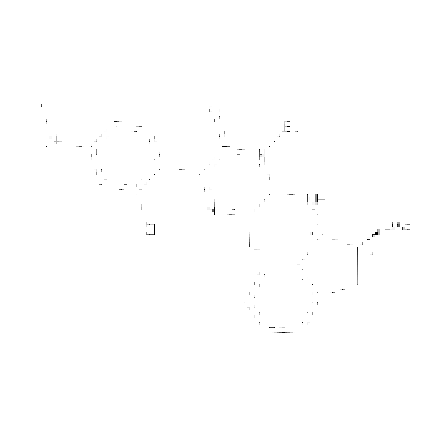 CCc1nc(-c2ccc(N(C)C)cc2Cl)c(=O)n(CC)c1N[C@H]1c2ccccc2C[C@@H]1OC(C)=O